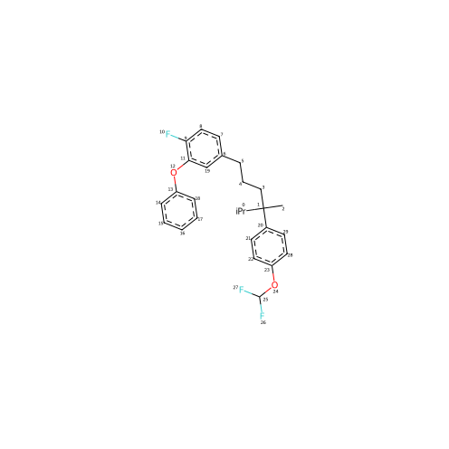 CC(C)C(C)(CCCc1ccc(F)c(Oc2ccccc2)c1)c1ccc(OC(F)F)cc1